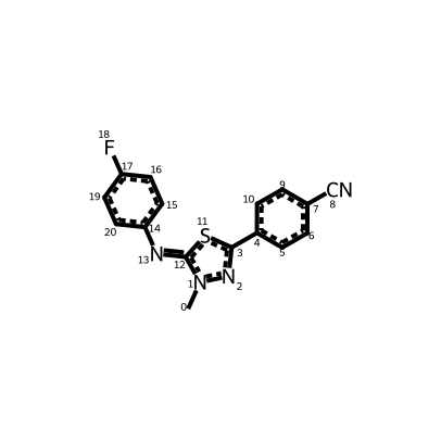 Cn1nc(-c2ccc(C#N)cc2)sc1=Nc1ccc(F)cc1